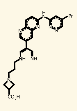 CC(C)c1cnnc(Nc2ccc3ncc(/C(C=N)=C/NCCCN4CC(C(=O)O)C4)cc3n2)c1